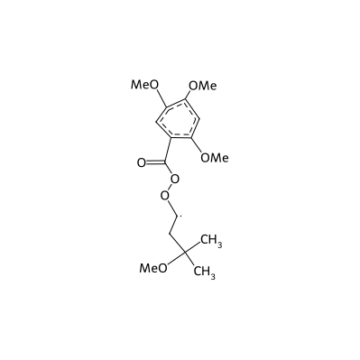 COc1cc(OC)c(C(=O)OO[CH]CC(C)(C)OC)cc1OC